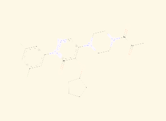 CC(C)C(=O)C(=O)N1CCN(c2cnn(-c3cc(F)cc(F)c3)c(=O)c2OC2CCCC2)CC1